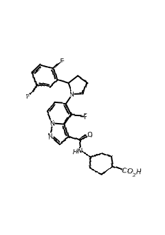 O=C(NC1CCC(C(=O)O)CC1)c1cnn2ccc(N3CCCC3c3cc(F)ccc3F)c(F)c12